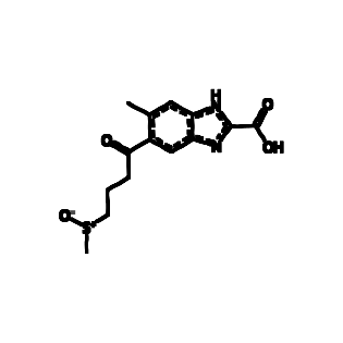 Cc1cc2[nH]c(C(=O)O)nc2cc1C(=O)CCC[S+](C)[O-]